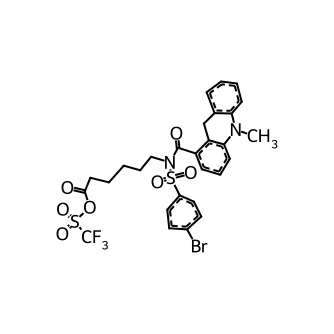 CN1c2ccccc2Cc2c(C(=O)N(CCCCCC(=O)OS(=O)(=O)C(F)(F)F)S(=O)(=O)c3ccc(Br)cc3)cccc21